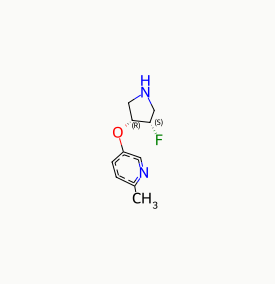 Cc1ccc(O[C@@H]2CNC[C@@H]2F)cn1